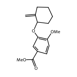 C=C1CCCCC1Oc1cc(C(=O)OC)ccc1OC